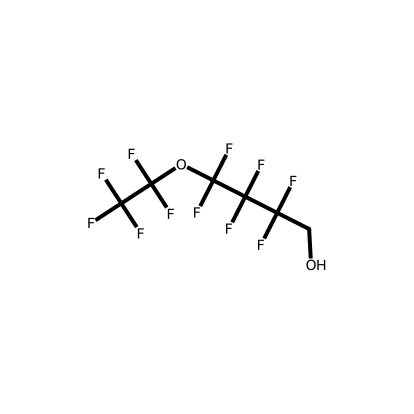 OCC(F)(F)C(F)(F)C(F)(F)OC(F)(F)C(F)(F)F